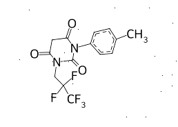 Cc1ccc(N2C(=O)CC(=O)N(CC(F)(F)C(F)(F)F)C2=O)cc1